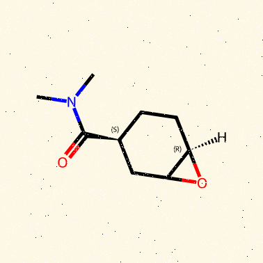 CN(C)C(=O)[C@H]1CC[C@H]2OC2C1